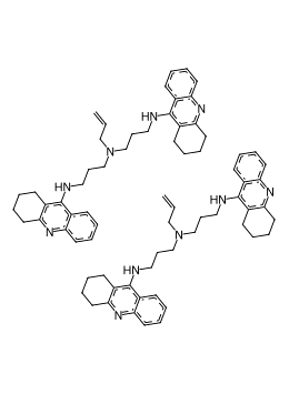 C=CCN(CCCNc1c2c(nc3ccccc13)CCCC2)CCCNc1c2c(nc3ccccc13)CCCC2.C=CCN(CCCNc1c2c(nc3ccccc13)CCCC2)CCCNc1c2c(nc3ccccc13)CCCC2